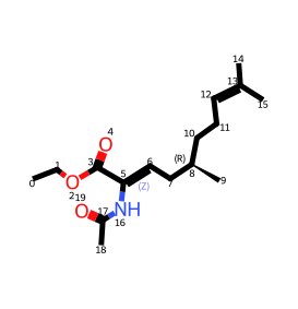 CCOC(=O)/C(=C/C[C@H](C)CCC=C(C)C)NC(C)=O